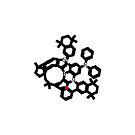 CC1(C)CC23CCC(C)(C2)c2cc4sc5c(c4cc23)B2c3cc1ccc3N(c1cc3c(cc1-c1ccccc1)C(C)(C)CCC3(C)C)c1cc(N(c3ccccc3)c3ccccc3)cc(c12)N5c1ccc2c(c1)C(C)(C)CCC2(C)C